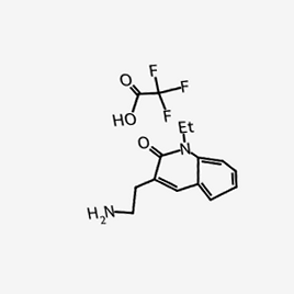 CCn1c(=O)c(CCN)cc2ccccc21.O=C(O)C(F)(F)F